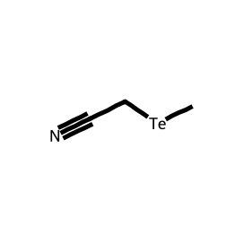 C[Te]CC#N